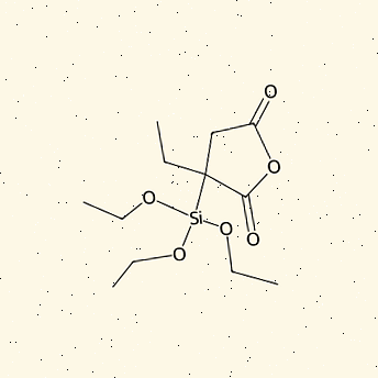 CCO[Si](OCC)(OCC)C1(CC)CC(=O)OC1=O